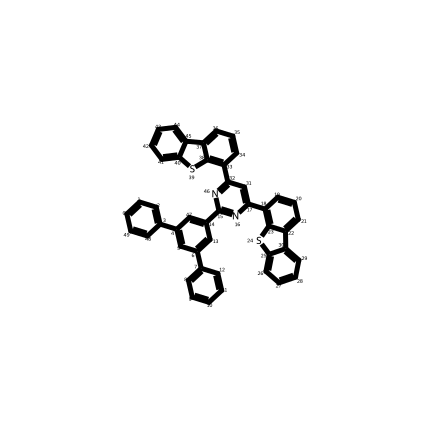 c1ccc(-c2cc(-c3ccccc3)cc(-c3nc(-c4cccc5c4sc4ccccc45)cc(-c4cccc5c4sc4ccccc45)n3)c2)cc1